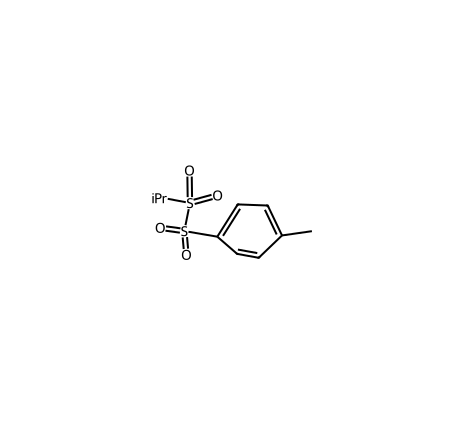 Cc1ccc(S(=O)(=O)S(=O)(=O)C(C)C)cc1